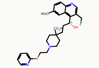 COc1ccc2ncc(CF)c([C@H](O)CCC3(C(=O)O)CCN(CCSc4ccccn4)CC3)c2c1